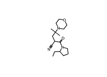 CCC1CCCN1C(=O)C(C#N)CC(C)(C)N1CCOCC1